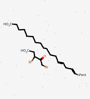 CCCCC/C=C/C/C=C/CCCCCCCCCCCC(=O)O.O=C(O)CC(Br)C(=O)CBr